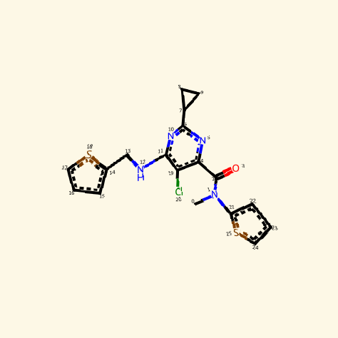 CN(C(=O)c1nc(C2CC2)nc(NCc2cccs2)c1Cl)c1cccs1